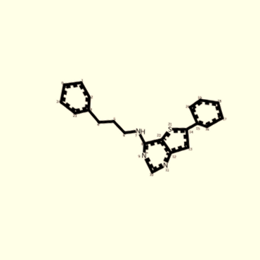 c1ccc(CCCNc2ncnc3cc(-c4ccccc4)sc23)cc1